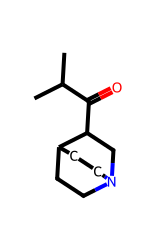 CC(C)C(=O)C1CN2CCC1CC2